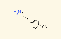 N#Cc1ccc(CCCCN)cc1